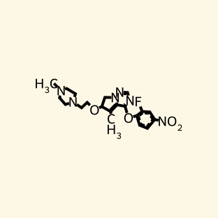 CC1=C2C(Oc3ccc([N+](=O)[O-])cc3F)=NC=NN2CC1OCCN1CCN(C)CC1